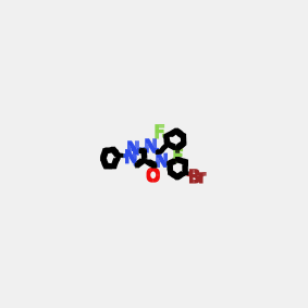 O=c1c2cn(-c3ccccc3)nc2nc(-c2c(F)cccc2F)n1-c1ccc(Br)cc1